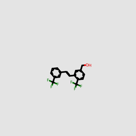 OCc1ccc(C(F)(F)F)c(C=Cc2cccc(C(F)(F)F)c2)c1